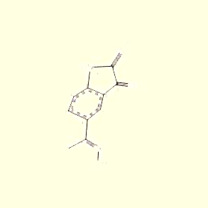 CC(=NO)c1ccc2c(c1)C(=O)C(=O)N2